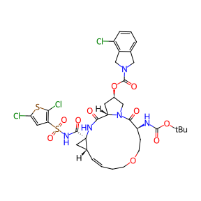 CC(C)(C)OC(=O)N[C@H]1CCOCC/C=C\[C@@H]2C[C@@]2(C(=O)NS(=O)(=O)c2cc(Cl)sc2Cl)NC(=O)[C@@H]2C[C@@H](OC(=O)N3Cc4cccc(Cl)c4C3)CN2C1=O